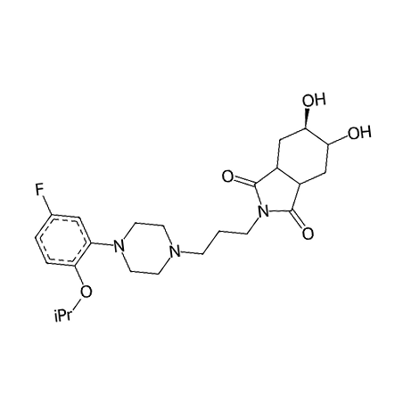 CC(C)Oc1ccc(F)cc1N1CCN(CCCN2C(=O)C3CC(O)[C@H](O)CC3C2=O)CC1